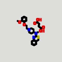 COc1ccccc1OCCN1CCC(N(C)C2=Nc3ccccc3CS2)CC1.O=C(O)/C=C/C(=O)O